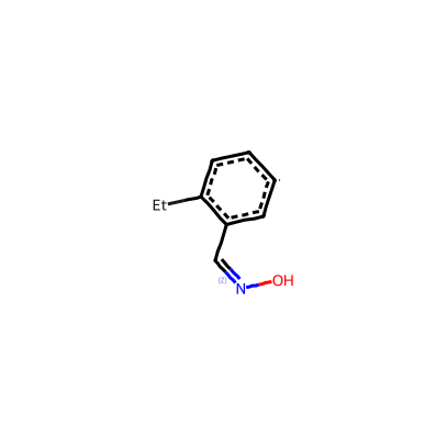 CCc1cc[c]cc1/C=N\O